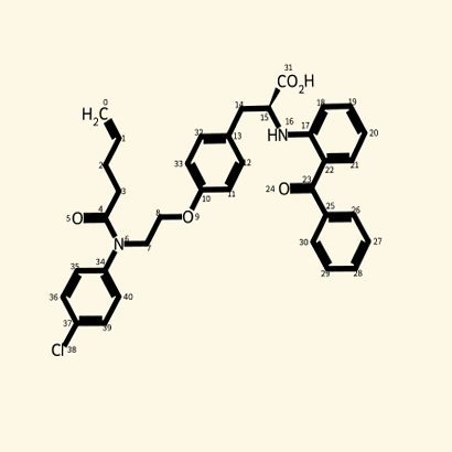 C=CCCC(=O)N(CCOc1ccc(C[C@H](Nc2ccccc2C(=O)c2ccccc2)C(=O)O)cc1)c1ccc(Cl)cc1